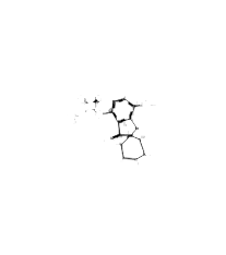 Cc1ccc(OS(=O)(=O)C(F)(F)F)c2c1CC1(CCCCC1)C2=O